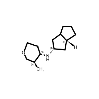 C[C@H]1COCC[C@@H]1N[C@@H]1C[C]2CCC[C@@H]2C1